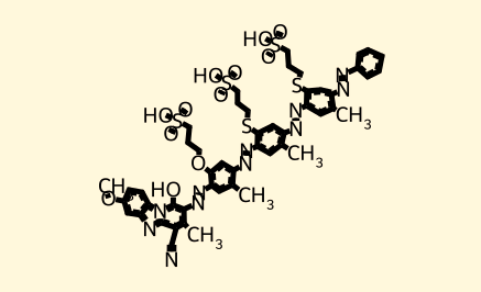 COc1ccc2c(c1)nc1c(C#N)c(C)c(N=Nc3cc(C)c(N=Nc4cc(C)c(N=Nc5cc(C)c(N=Nc6ccccc6)cc5SCCCS(=O)(=O)O)cc4SCCCS(=O)(=O)O)cc3OCCCS(=O)(=O)O)c(O)n12